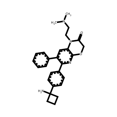 CN(C)CCN1C(=O)COc2nc(-c3ccc(C4(N)CCC4)cc3)c(-c3ccccc3)cc21